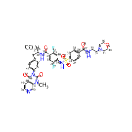 Cn1c(=O)n(-c2ccc(C[C@H](NC(=O)c3cc(F)c(NS(=O)(=O)c4ccc(C(=O)NCCN5CCOCC5)cc4)cc3F)C(=O)O)cc2)c(=O)c2ccncc21